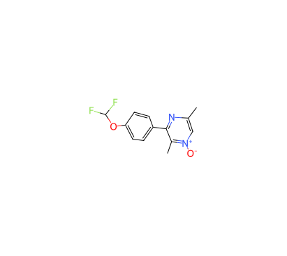 Cc1c[n+]([O-])c(C)c(-c2ccc(OC(F)F)cc2)n1